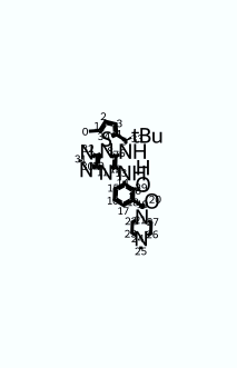 Cc1ccc([C@H](Nc2nc3c(nc2Nc2cccc(C(=O)N4CCN(C)CC4)c2O)=NCN=3)C(C)(C)C)s1